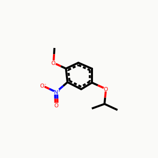 COc1ccc(OC(C)C)cc1[N+](=O)[O-]